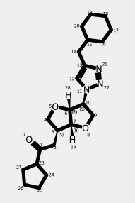 O=C(C[C@H]1CO[C@H]2[C@@H]1OC[C@@H]2n1cc(CC2CCCCC2)nn1)C1CCCC1